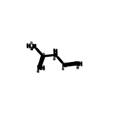 N=NNC(=N)N